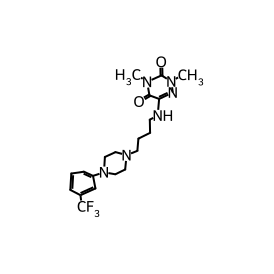 Cn1nc(NCCCCN2CCN(c3cccc(C(F)(F)F)c3)CC2)c(=O)n(C)c1=O